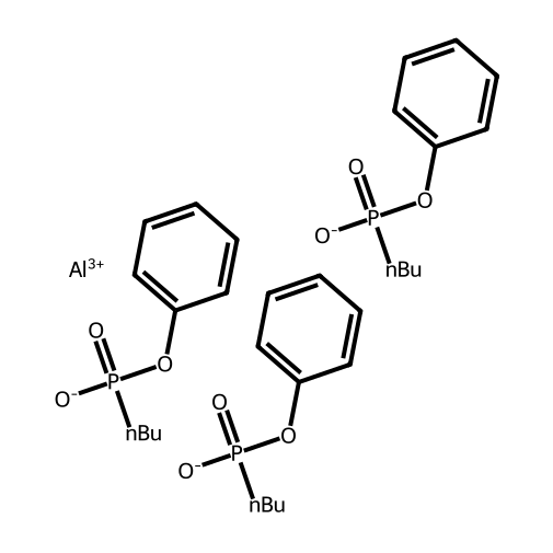 CCCCP(=O)([O-])Oc1ccccc1.CCCCP(=O)([O-])Oc1ccccc1.CCCCP(=O)([O-])Oc1ccccc1.[Al+3]